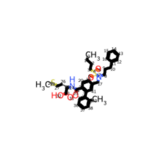 CCCCS(=O)(=O)N(CCCc1ccccc1)Cc1ccc(C(=O)N[C@@H](CCSC)C(=O)O)c(-c2ccccc2C)c1